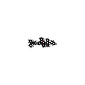 c1ccc2cc(-c3c4ccccc4c(-c4cc5c6ccccc6c6cc(-c7ccc(-n8c9ccccc9c9ccccc98)cc7)ccc6c5c5ccccc45)c4ccccc34)ccc2c1